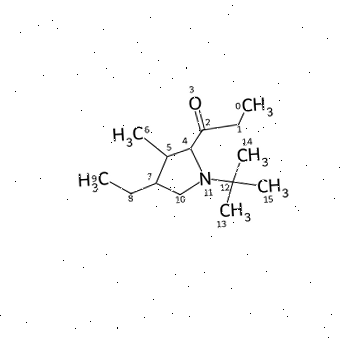 CCC(=O)C1C(C)C(CC)CN1C(C)(C)C